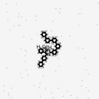 C[Si]1(C)c2ccccc2-c2c(-c3ccc(-c4ccccc4)cc3)nc(-c3cccc(-c4cccc(-c5cccc(-c6cccc(-c7ccccc7)c6)c5)c4)c3)nc21